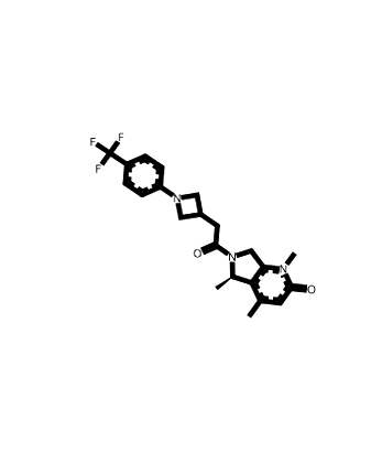 Cc1cc(=O)n(C)c2c1[C@@H](C)N(C(=O)CC1CN(c3ccc(C(F)(F)F)cc3)C1)C2